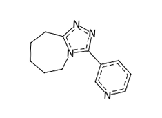 c1cncc(-c2nnc3n2CCCCC3)c1